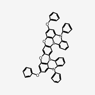 c1ccc(Oc2cc3c4c(c2)N(c2ccccc2)c2ccccc2B4c2cc4c(cc2O3)Oc2cc(Oc3ccccc3)cc3c2B4c2ccccc2N3c2ccccc2)cc1